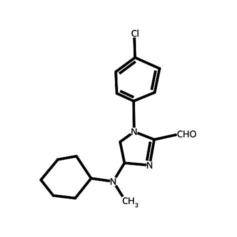 CN(C1CCCCC1)C1CN(c2ccc(Cl)cc2)C(C=O)=N1